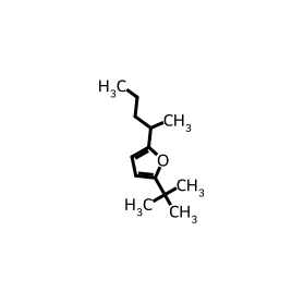 CCCC(C)c1ccc(C(C)(C)C)o1